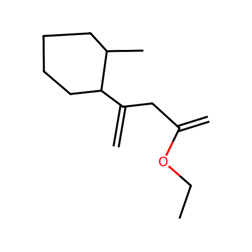 C=C(CC(=C)C1CCCCC1C)OCC